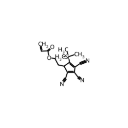 C=CC(=O)OCCC1C(C#N)=C(C#N)C(C#N)=C1[Si](C)(C)C